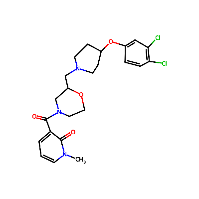 Cn1cccc(C(=O)N2CCOC(CN3CCC(Oc4ccc(Cl)c(Cl)c4)CC3)C2)c1=O